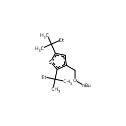 CCCCOCc1cc(C(C)(C)CC)sc1C(C)(C)CC